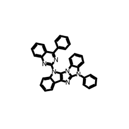 c1ccc(-c2nc(-n3c4ccccc4c4nc5n(-c6ccccc6)c6ccccc6n5c43)nc3ccccc23)cc1